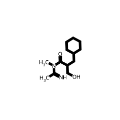 CC(=N)N(C)C(=O)C(CO)CC1CCCCC1